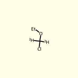 [2H]C([2H])(Cl)OCC